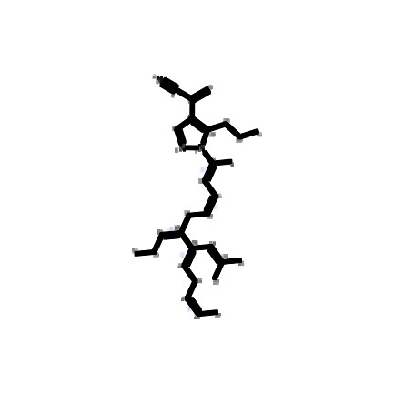 C=C(C#N)c1cnn(/C(C)=C/C=C\CC(=C/CC)/C(C=C(C)C)=C/C/C=C\C)c1CCC